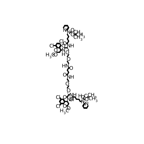 COC(=O)CC(NC(=O)[C@H](COCCOCCNC(=O)CCC(=O)NCCOCCOC[C@H](NC(=O)CCCCN(C(=O)OC(C)(C)C)c1ccccn1)C(=O)NC(CC(=O)OC)c1cc(Cl)cc(Cl)c1)NC(=O)CCCCN(C(=O)OC(C)(C)C)c1ccccn1)c1cc(Cl)cc(Cl)c1